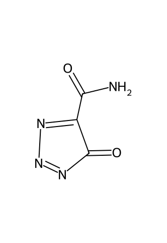 NC(=O)C1=NN=NC1=O